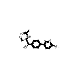 CC(=O)N[C@H](CF)[C@H](O)c1ccc(-c2ccc(N)nc2)cc1